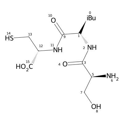 CC[C@H](C)[C@H](NC(=O)[C@@H](N)CO)C(=O)N[C@@H](CS)C(=O)O